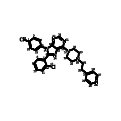 Clc1ccc(-n2c(-c3ccccc3Cl)nc3c(N4CCN(CCc5ccncc5)CC4)ncnc32)cc1